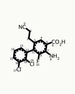 N#CCCc1cc(C(=O)O)c(N)c(F)c1-c1cccc(Cl)c1Cl